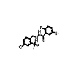 O=C(NNCc1ccc(Cl)cc1C(F)(F)F)c1cc(Br)ccc1F